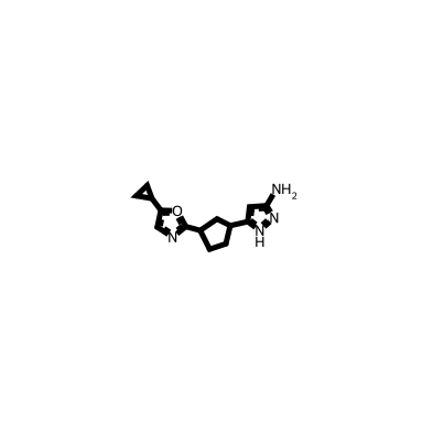 Nc1cc(C2CCC(c3ncc(C4CC4)o3)C2)[nH]n1